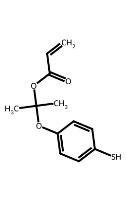 C=CC(=O)OC(C)(C)Oc1ccc(S)cc1